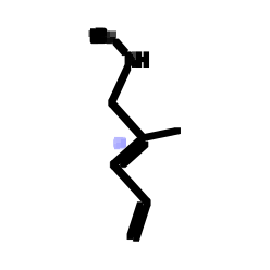 C=C/C=C(\C)CNC(C)(C)C